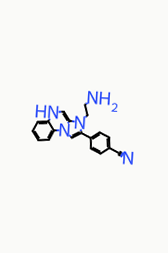 N#Cc1ccc(C2=CN3C(=CNc4ccccc43)N2CCN)cc1